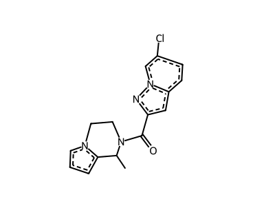 CC1c2cccn2CCN1C(=O)c1cc2ccc(Cl)cn2n1